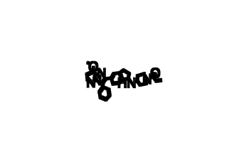 C=CC(=O)N1CCC(N[C@H]2CCc3cc(-c4nc5c(OC)ccnn5c4-c4ccccc4)ccc32)CC1